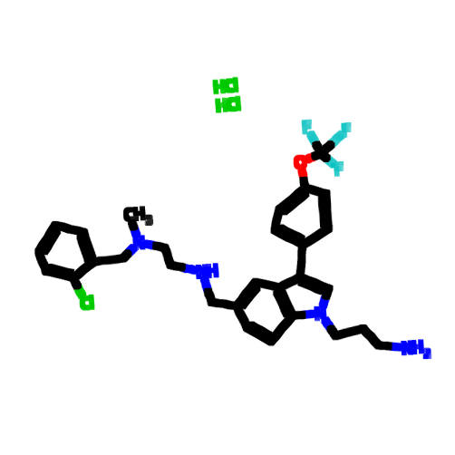 CN(CCNCc1ccc2c(c1)c(-c1ccc(OC(F)(F)F)cc1)cn2CCCN)Cc1ccccc1Cl.Cl.Cl